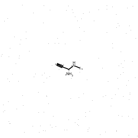 C#CCNI.N